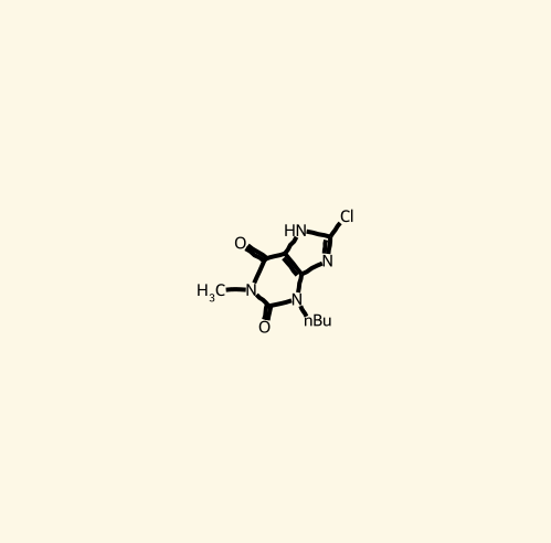 CCCCn1c(=O)n(C)c(=O)c2[nH]c(Cl)nc21